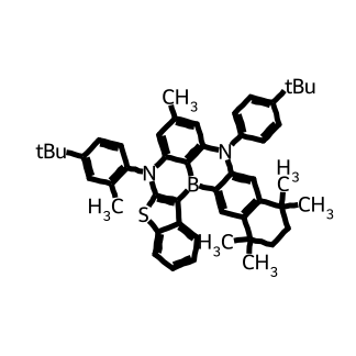 Cc1cc2c3c(c1)N(c1ccc(C(C)(C)C)cc1C)c1sc4ccccc4c1B3c1cc3c(cc1N2c1ccc(C(C)(C)C)cc1)C(C)(C)CCC3(C)C